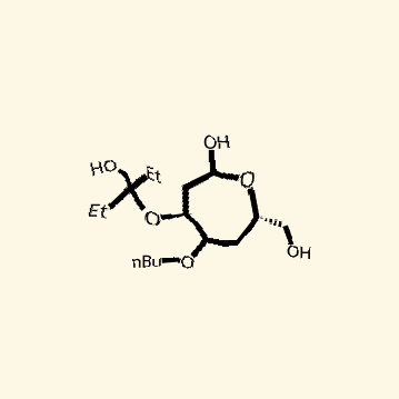 CCCCOC1C[C@@H](CO)OC(O)C[C@@H]1OC(O)(CC)CC